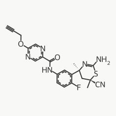 C#CCOc1cnc(C(=O)Nc2ccc(F)c([C@]3(C)C[C@](C)(C#N)SC(N)=N3)c2)cn1